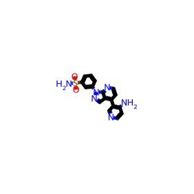 Nc1ccncc1-c1ccnc2c1cnn2-c1cccc(S(N)(=O)=O)c1